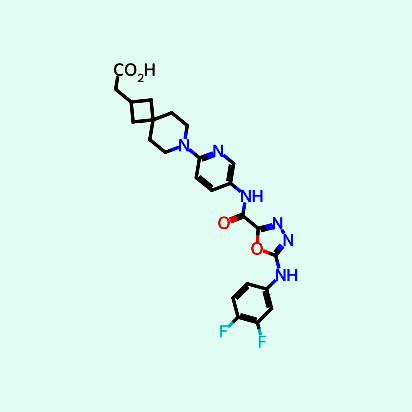 O=C(O)CC1CC2(CCN(c3ccc(NC(=O)c4nnc(Nc5ccc(F)c(F)c5)o4)cn3)CC2)C1